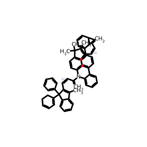 C=C/C=C\C1=C(C)C(C)(C)c2ccc(N(C(=C)/C=C\C3=C(C)c4ccccc4C3(C3=CC=CCC3)c3ccccc3)c3ccccc3-c3ccc(C4=CC=CC5CC45)cc3)cc21